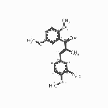 COc1ccc(OC)c(C(=O)C(C)=Cc2ccc(OC)c(N)c2)c1